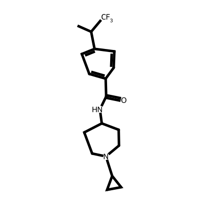 CC(c1ccc(C(=O)NC2CCN(C3CC3)CC2)cc1)C(F)(F)F